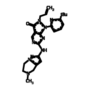 C=CCn1c(=O)c2cnc(Nc3cc4n(n3)CCN(C)C4)nc2n1-c1cccc(C(C)(C)C)n1